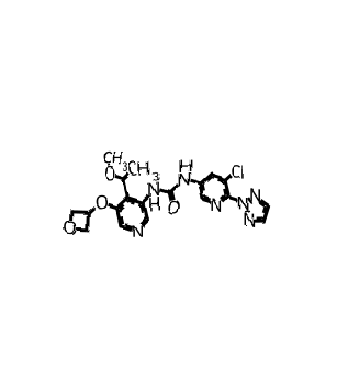 COC(C)c1c(NC(=O)Nc2cnc(-n3nccn3)c(Cl)c2)cncc1OC1COC1